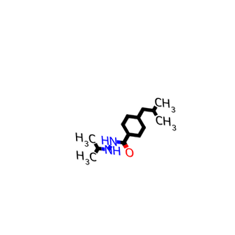 CC(C)CC1CCC(C(=O)NNC(C)C)CC1